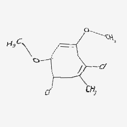 CO[C]1C=C(OC)C(Cl)=C(C)C1Cl